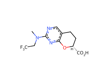 CN(CC(F)(F)F)c1ncc2c(n1)O[C@@H](C(=O)O)CC2